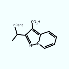 CCCCCC(C)c1nn2ccccc2c1C(=O)O